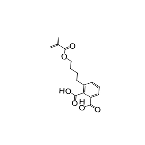 C=C(C)C(=O)OCCCCc1cccc(C(=O)O)c1C(=O)O